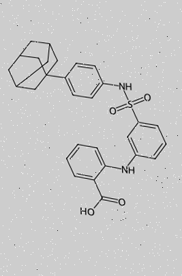 O=C(O)c1ccccc1Nc1cccc(S(=O)(=O)Nc2ccc(C34CC5CC(CC(C5)C3)C4)cc2)c1